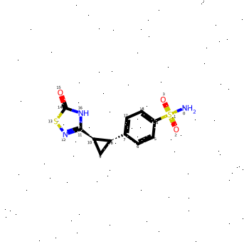 NS(=O)(=O)c1ccc([C@@H]2C[C@H]2c2nsc(=O)[nH]2)cc1